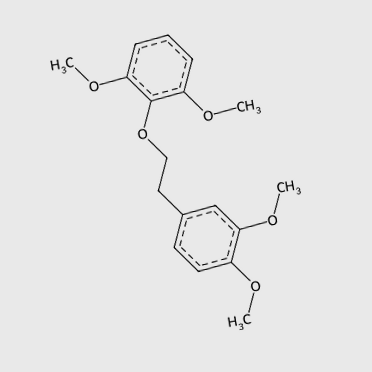 COc1ccc(CCOc2c(OC)cccc2OC)cc1OC